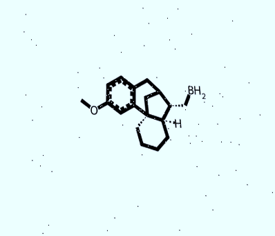 BC[C@H]1C2Cc3ccc(OC)cc3[C@@]3(CCCC[C@H]13)C2